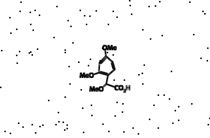 COc1ccc(C(OC)C(=O)O)c(OC)c1